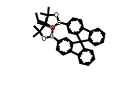 CCC1(C)OB(c2ccc3c(c2)C2(c4ccccc4-c4ccc(B5OC(C)(C)C(C)(C)O5)cc42)c2ccccc2-3)OC1(C)C